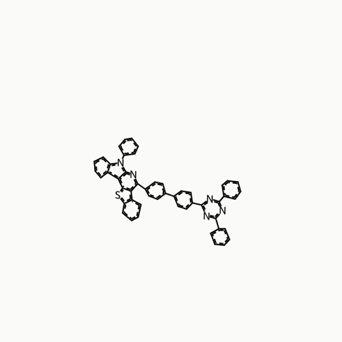 c1ccc(-c2nc(-c3ccccc3)nc(-c3ccc(-c4ccc(-c5nc6c(c7ccccc7n6-c6ccccc6)c6sc7ccccc7c56)cc4)cc3)n2)cc1